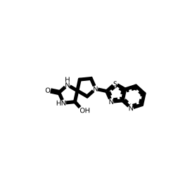 O=C1NC(O)C2(CCN(c3nc4ncccc4s3)C2)N1